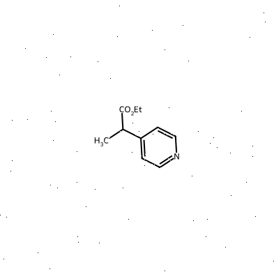 CCOC(=O)C(C)c1ccncc1